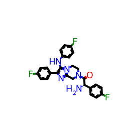 N[C@H](C(=O)N1CCn2c(nc(-c3ccc(F)cc3)c2Nc2ccc(F)cc2)C1)c1ccc(F)cc1